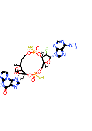 Nc1ncnc2c1ncn2[C@@H]1O[C@@H]2COP(=O)(S)O[C@@H]3[C@H](O)[C@@H](CCOP(=O)(S)O[C@H]2[C@H]1F)O[C@H]3n1cnc2c(=O)[nH]c3nccn3c21